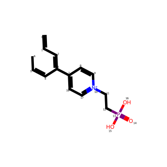 C=C/C=C(\C=C/C)c1cc[n+](CCP(=O)(O)O)cc1